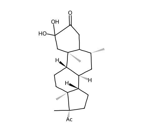 CC(=O)[C@@]1(C)CC[C@H]2[C@@H]3C[C@@H](C)C4CC(=O)C(O)(O)C[C@]4(C)[C@H]3CC[C@@]21C